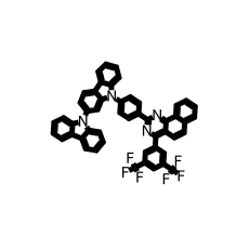 FC(F)(F)c1cc(-c2nc(-c3ccc(-n4c5ccccc5c5ccc(-n6c7ccccc7c7ccccc76)cc54)cc3)nc3c2ccc2ccccc23)cc(C(F)(F)F)c1